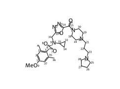 COc1cc(C)c(S(=O)(=O)N(Cc2nnc(C(=O)N3CCN(CCCN4CCCC4)CC3)o2)C2CC2)c(C)c1